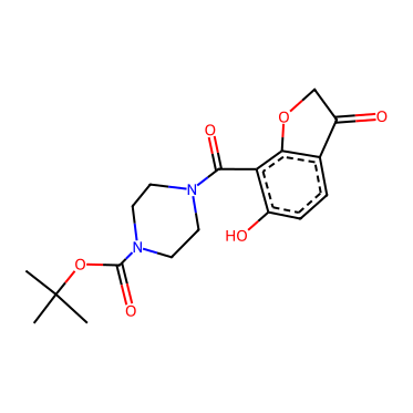 CC(C)(C)OC(=O)N1CCN(C(=O)c2c(O)ccc3c2OCC3=O)CC1